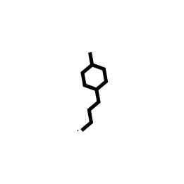 [CH2]CCCC1CCC(C)CC1